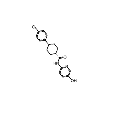 O=C(Nc1ccc(O)cn1)[C@H]1CC[C@H](c2ccc(Cl)cc2)CC1